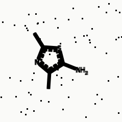 Cc1nc(C)c(N)s1